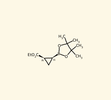 CCOC(=O)[C@@H]1C[C@@H]1B1OC(C)(C)C(C)(C)O1